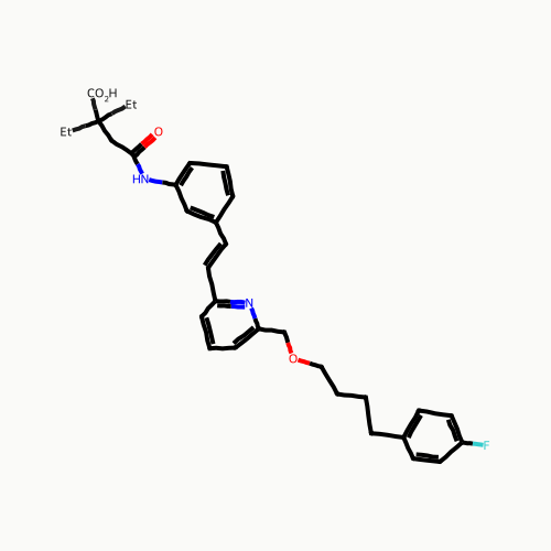 CCC(CC)(CC(=O)Nc1cccc(C=Cc2cccc(COCCCCc3ccc(F)cc3)n2)c1)C(=O)O